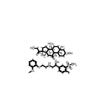 COc1ccccc1OCCNCC(O)c1ccc(C)c(S(N)(=O)=O)c1.C[C@]12CC[C@@H](O)C[C@H]1CC[C@@H]1[C@@H]2C(=O)C[C@@]2(C)[C@H]1CC[C@]2(O)C(=O)CO.Cl